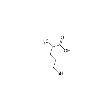 CC(CCCS)C(=O)O